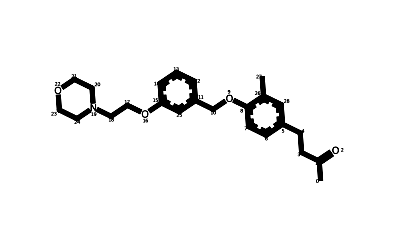 CC(=O)CCc1ccc(OCc2cccc(OCCN3CCOCC3)c2)c(C)c1